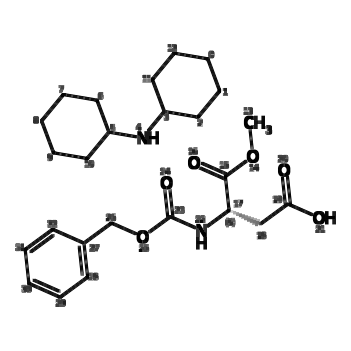 C1CCC(NC2CCCCC2)CC1.COC(=O)[C@H](CC(=O)O)NC(=O)OCc1ccccc1